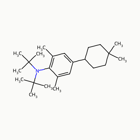 Cc1cc(C2CCC(C)(C)CC2)cc(C)c1N(C(C)(C)C)C(C)(C)C